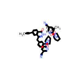 CC#Cc1ccc2c(=O)[nH]nc(Cc3ccc(F)c(C(=O)N4C5CCC4CN(c4ccc(C#N)cn4)C5)c3)c2c1.CC(C)(C)OC(=O)N1C2CCC1CN(c1ccc(C#N)cn1)C2